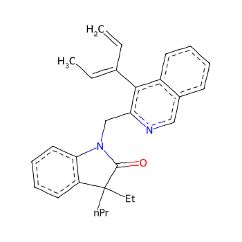 C=C/C(=C\C)c1c(CN2C(=O)C(CC)(CCC)c3ccccc32)ncc2ccccc12